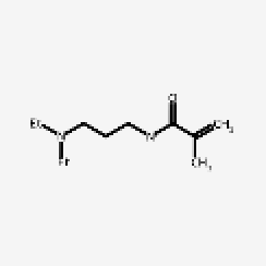 C=C(C)C(=O)[N]CCCN(CC)CC